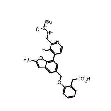 CC(C)(C)[S+]([O-])NCc1nccc(-c2cc(COc3ccccc3CC(=O)O)cc3cc(C(F)(F)F)oc23)c1F